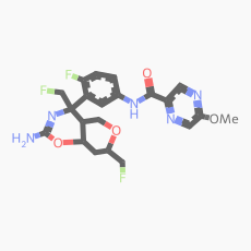 COc1cnc(C(=O)Nc2ccc(F)c(C3(CF)N=C(N)OC4CC(CF)OCC43)c2)cn1